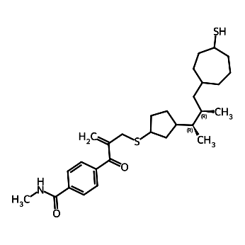 C=C(CSC1CCC([C@H](C)[C@H](C)CC2CCCC(S)CC2)C1)C(=O)c1ccc(C(=O)NC)cc1